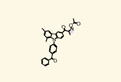 CC(=O)O/N=C(/C)C(=O)c1ccc2c(c1)c1cc(C)cc(C)c1n2-c1ccc(C(=O)c2ccccc2)cc1